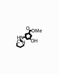 COC(=O)c1cc(O)cc(NC2=NCCCCC2)c1